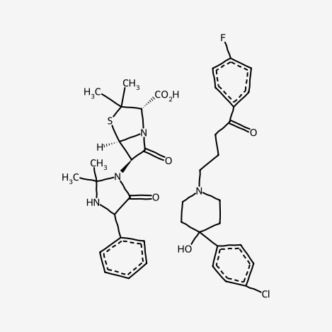 CC1(C)S[C@@H]2[C@H](N3C(=O)C(c4ccccc4)NC3(C)C)C(=O)N2[C@H]1C(=O)O.O=C(CCCN1CCC(O)(c2ccc(Cl)cc2)CC1)c1ccc(F)cc1